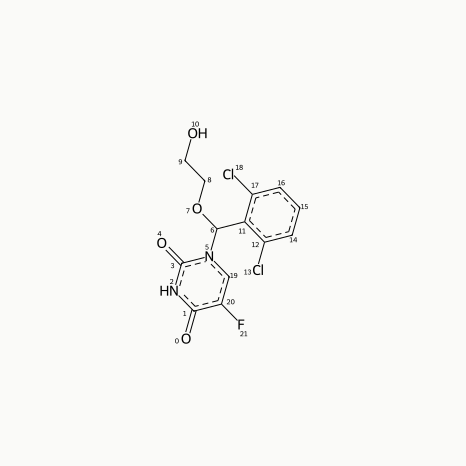 O=c1[nH]c(=O)n(C(OCCO)c2c(Cl)cccc2Cl)cc1F